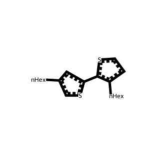 CCCCCCc1csc(-c2sccc2CCCCCC)c1